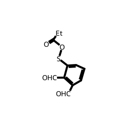 CCC(=O)OSc1cccc(C=O)c1C=O